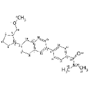 COCC1CCCN1C1CCc2cc(-c3ccc(C(=O)N(C)C)cc3)ccc2C1